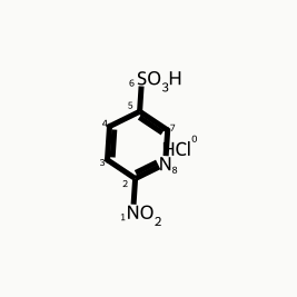 Cl.O=[N+]([O-])c1ccc(S(=O)(=O)O)cn1